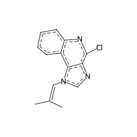 CC(C)=Cn1cnc2c(Cl)nc3ccccc3c21